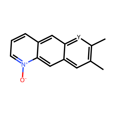 CC1=[C](C)[Y]=[c]2cc3ccc[n+]([O-])c3cc2=C1